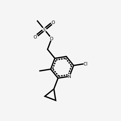 Cc1c(COS(C)(=O)=O)cc(Cl)nc1C1CC1